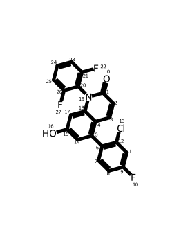 O=c1ccc2c(-c3ccc(F)cc3Cl)cc(O)cc2n1-c1c(F)cccc1F